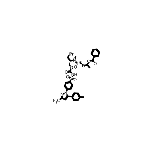 Cc1ccc(-c2cc(C(F)(F)F)nn2-c2ccc(S(=O)(=O)NC(=O)OC[C@H](CC(C)C)N(C)/[N+]([O-])=N/OC(C)OC(=O)c3ccccc3)cc2)cc1